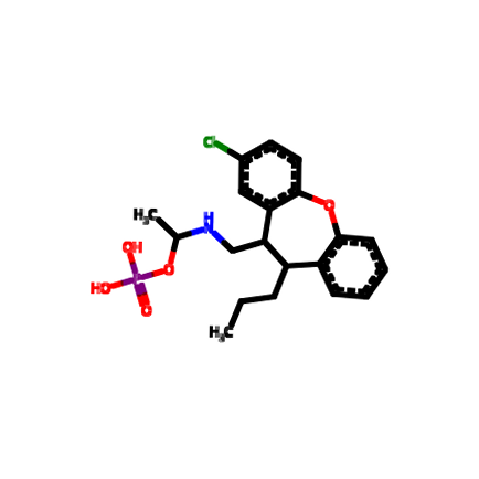 CCCC1c2ccccc2Oc2ccc(Cl)cc2C1CNC(C)OP(=O)(O)O